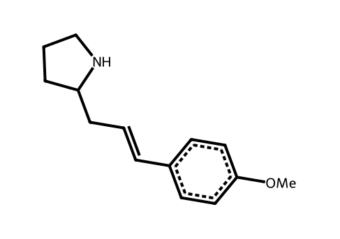 COc1ccc(C=CCC2CCCN2)cc1